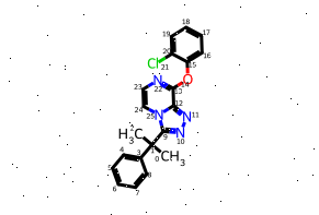 CC(C)(c1ccccc1)c1nnc2c(Oc3ccccc3Cl)nccn12